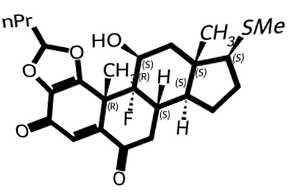 CCCC1OC2=C(O1)[C@@]1(C)C(=CC2=O)C(=O)C[C@H]2[C@@H]3CC[C@H](SC)[C@@]3(C)C[C@H](O)[C@@]21F